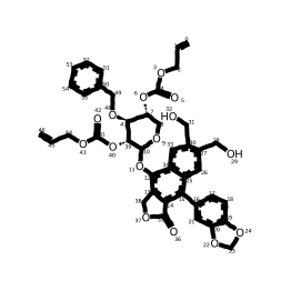 C=CCOC(=O)O[C@@H]1COC(Oc2c3c(c(-c4ccc5c(c4)OCO5)c4cc(CO)c(CO)cc24)C(=O)OC3)[C@H](OC(=O)OCC=C)[C@H]1OCc1ccccc1